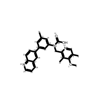 COc1c(C)cnc(CN(C(=O)O)c2cc(C)cc(-c3ccc4ncccc4c3)c2)c1C